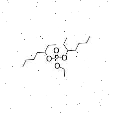 CCCCC(CC)OP(=O)(OCC)OC(CC)CCCC